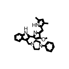 COC1=CC(c2[nH]c3ccccc3c2CN2CCN(c3ccccc3)CC2)=NC1=Cc1[nH]c(C)cc1C